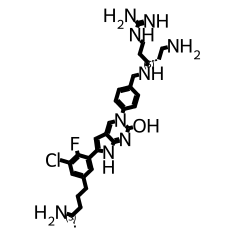 C[C@H](N)CCCc1cc(Cl)c(F)c(-c2cc3c([nH]2)=NC(O)N(c2ccc(CN[C@@H](CCN)CCNC(=N)N)cc2)C=3)c1